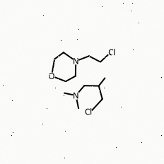 CC(CCl)CN(C)C.ClCCN1CCOCC1